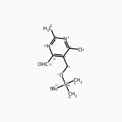 Cc1nc(Cl)c(CO[Si](C)(C)C(C)(C)C)c(C=O)n1